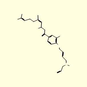 C=CCN(C)CC=CCOc1ccc(C(=O)CC(O)C=C(C)CCC=C(C)C)cc1F